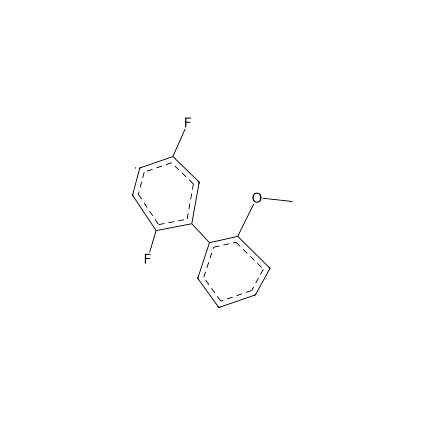 COc1ccccc1-c1cc(F)[c]cc1F